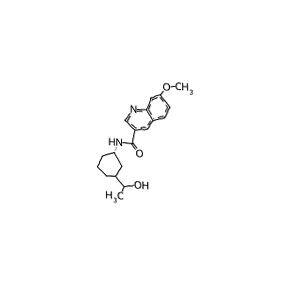 COc1ccc2cc(C(=O)N[C@H]3CCCC(C(C)O)C3)cnc2c1